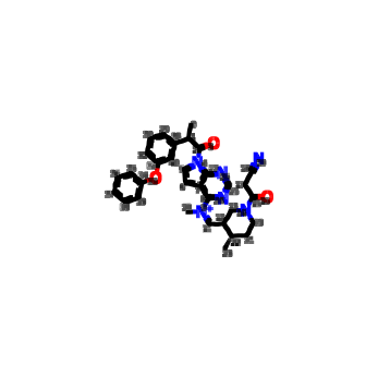 CC(C(=O)n1ccc2c(/[N+](C)=C\C3CN(C(=O)CC#N)CC[C@H]3C)ncnc21)c1cccc(Oc2ccccc2)c1